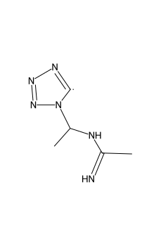 CC(=N)NC(C)n1[c]nnn1